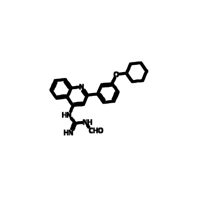 N=C(NC=O)Nc1cc(-c2cccc(OC3CCCCC3)c2)nc2ccccc12